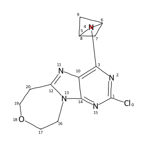 Clc1nc(N2CC3CC2C3)c2nc3n(c2n1)CCOCC3